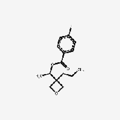 CCCC1(C(C)OC(=O)c2ccc(I)cc2)COC1